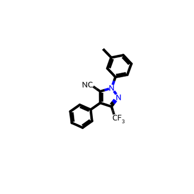 Cc1cccc(-n2nc(C(F)(F)F)c(-c3ccccc3)c2C#N)c1